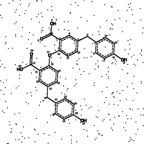 O=C(O)c1cc(Cc2ccc(O)cc2)ccc1Oc1ccc(Cc2ccc(O)cc2)cc1C(=O)O